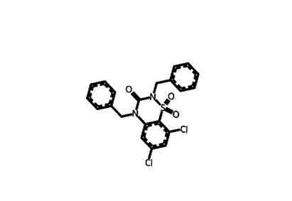 O=C1N(Cc2ccccc2)c2cc(Cl)cc(Cl)c2S(=O)(=O)N1Cc1ccccc1